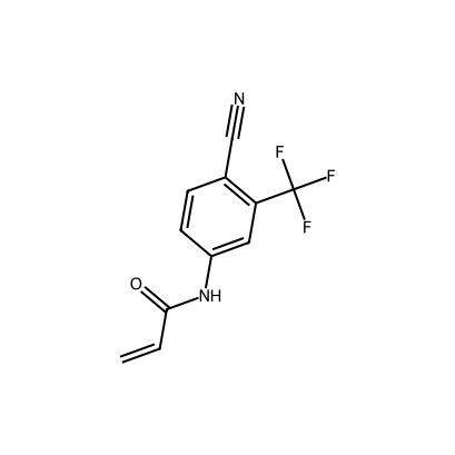 C=CC(=O)Nc1ccc(C#N)c(C(F)(F)F)c1